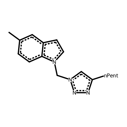 CCCCCc1cn(Cn2ccc3cc(C)ccc32)nn1